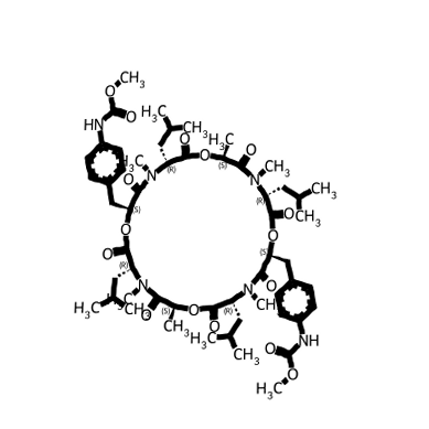 COC(=O)Nc1ccc(C[C@@H]2OC(=O)[C@@H](CC(C)C)N(C)C(=O)[C@H](C)OC(=O)[C@@H](CC(C)C)N(C)C(=O)[C@H](Cc3ccc(NC(=O)OC)cc3)OC(=O)[C@@H](CC(C)C)N(C)C(=O)[C@H](C)OC(=O)[C@@H](CC(C)C)N(C)C2=O)cc1